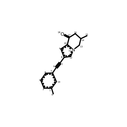 Cc1cccc(C#Cc2cc3n(c2)CC(C)CC3=O)c1